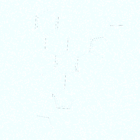 CC(C)c1coc(-c2nc(-c3nc(C(C)C)co3)c(Br)c(Cc3ccccc3)c2Br)n1.[Co]